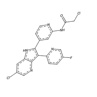 O=C(CCl)Nc1cc(-c2[nH]c3cc(Cl)cnc3c2-c2ccc(F)cn2)ccn1